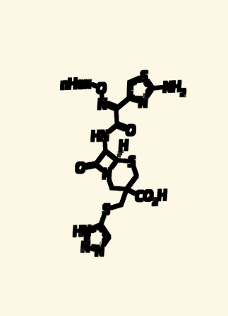 CCCCCCON=C(C(=O)NC1C(=O)N2CC(CSc3cnn[nH]3)(C(=O)O)CS[C@H]12)c1csc(N)n1